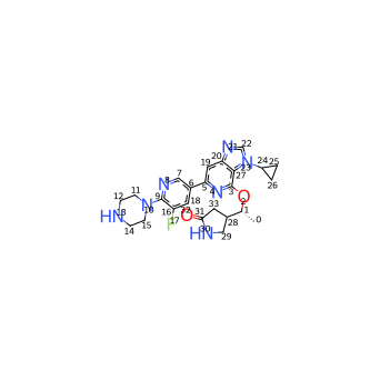 C[C@@H](Oc1nc(-c2cnc(N3CCNCC3)c(F)c2)cc2ncn(C3CC3)c12)C1CNC(=O)C1